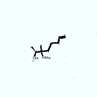 C=CCCCC(C)(NC)[C@H](C)O